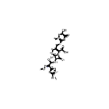 CO/N=C(/C(=O)NC1C(=O)N2C(C(=O)O)=C(CSc3nc(=O)c(O)nn3C)CS[C@H]12)c1nsc(N)n1